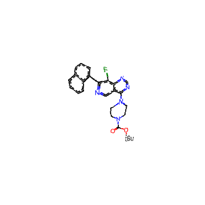 CC(C)(C)OC(=O)N1CCN(c2ncnc3c(F)c(-c4cccc5ccccc45)ncc23)CC1